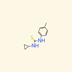 Cc1ccc(NC(=S)NC2CC2)cc1